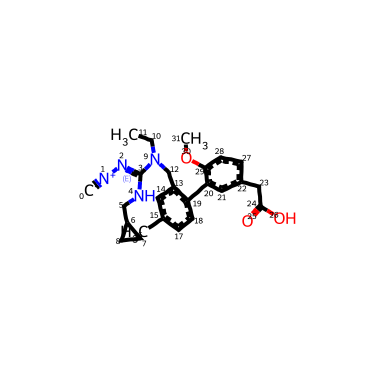 [C-]#[N+]/N=C(\NCC1CC1)N(CC)Cc1cc(C)ccc1-c1cc(CC(=O)O)ccc1OC